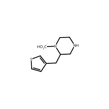 O=C(O)N1CCNCC1Cc1ccsc1